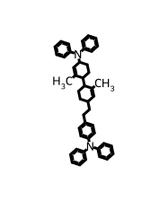 CC1=CC(CCc2ccc(N(c3ccccc3)c3ccccc3)cc2)CCC1C1CCC(N(c2ccccc2)c2ccccc2)C=C1C